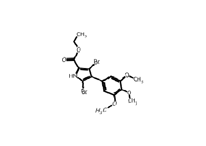 CCOC(=O)c1[nH]c(Br)c(-c2cc(OC)c(OC)c(OC)c2)c1Br